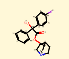 O=C(OC1CN2CCC1CC2)C(O)(c1ccccc1)c1ccc(I)cc1